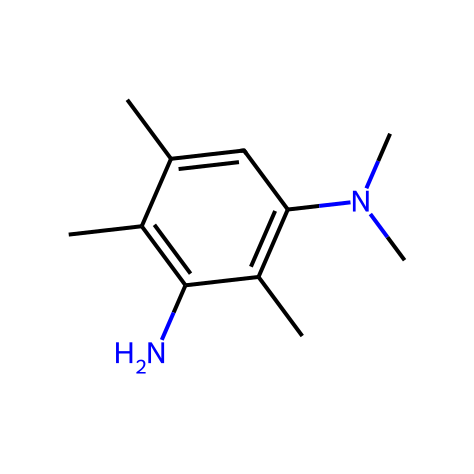 Cc1cc(N(C)C)c(C)c(N)c1C